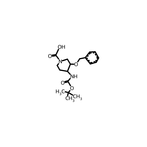 CC(C)(C)OC(=O)NC1CCN(C(=O)O)CC1OCc1ccccc1